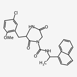 COc1ccc(Cl)cc1CC1CNC(=O)CN(C(=O)NC(C)c2cccc3ccccc23)C1=O